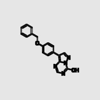 Oc1ncnc2c(-c3ccc(OCc4ccccc4)cc3)cnn12